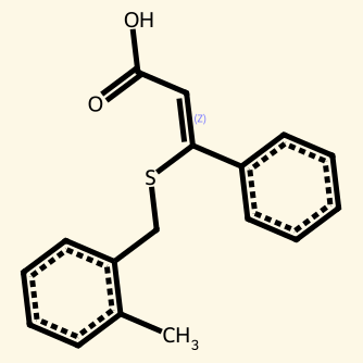 Cc1ccccc1CS/C(=C\C(=O)O)c1ccccc1